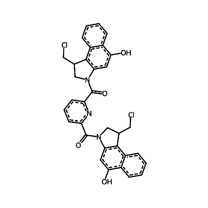 O=C(c1cccc(C(=O)N2CC(CCl)c3c2cc(O)c2ccccc32)n1)N1CC(CCl)c2c1cc(O)c1ccccc21